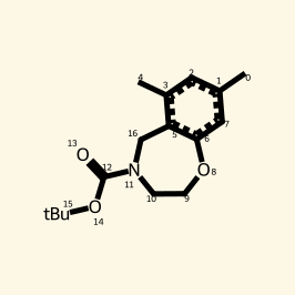 Cc1cc(C)c2c(c1)OCCN(C(=O)OC(C)(C)C)C2